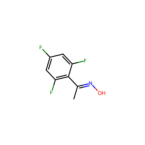 CC(=NO)c1c(F)cc(F)cc1F